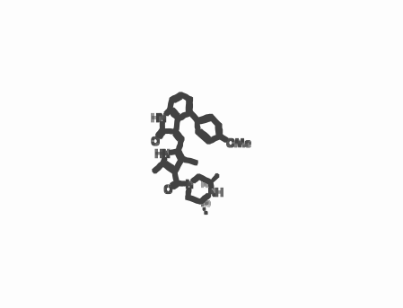 COc1ccc(-c2cccc3c2C(=Cc2[nH]c(C)c(C(=O)N4C[C@@H](C)N[C@H](C)C4)c2C)C(=O)N3)cc1